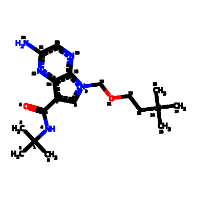 CC(C)(C)NC(=O)c1cn(COCC[Si](C)(C)C)c2ncc(N)nc12